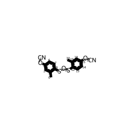 Cc1cc(OC#N)ccc1SOSc1ccc(OC#N)cc1C